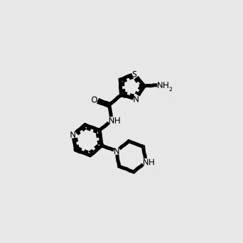 Nc1nc(C(=O)Nc2cnccc2N2CCNCC2)cs1